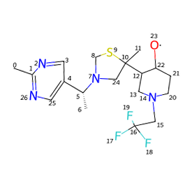 Cc1ncc([C@@H](C)N2CSC(C)(C3CN(CC(F)(F)F)CCC3[O])C2)cn1